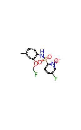 Cc1ccc(NS(=O)(=O)c2ccc(F)c[n+]2[O-])c(OCF)c1